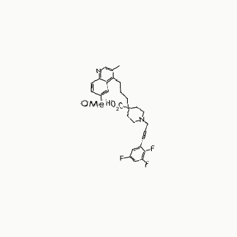 COc1ccc2ncc(C)c(CCCC3(C(=O)O)CCN(CC#Cc4cc(F)cc(F)c4F)CC3)c2c1